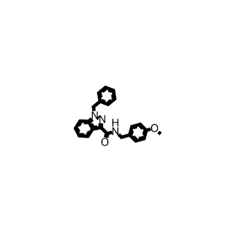 COc1ccc(CNC(=O)c2nn(Cc3ccccc3)c3ccccc23)cc1